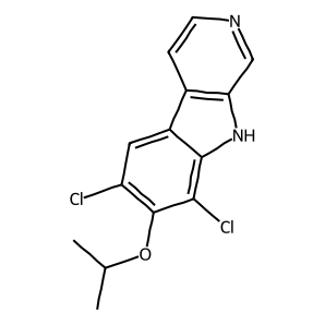 CC(C)Oc1c(Cl)cc2c([nH]c3cnccc32)c1Cl